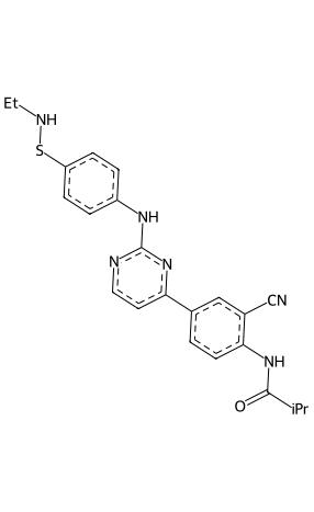 CCNSc1ccc(Nc2nccc(-c3ccc(NC(=O)C(C)C)c(C#N)c3)n2)cc1